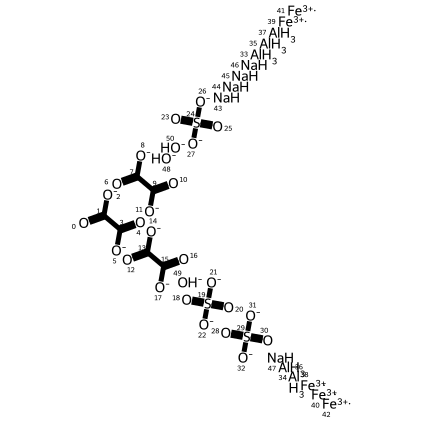 O=C([O-])C(=O)[O-].O=C([O-])C(=O)[O-].O=C([O-])C(=O)[O-].O=S(=O)([O-])[O-].O=S(=O)([O-])[O-].O=S(=O)([O-])[O-].[AlH3].[AlH3].[AlH3].[AlH3].[AlH3].[Fe+3].[Fe+3].[Fe+3].[Fe+3].[Fe+3].[NaH].[NaH].[NaH].[NaH].[NaH].[OH-].[OH-].[OH-]